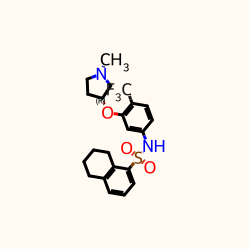 CN1CC[C@@H](Oc2cc(NS(=O)(=O)c3cccc4c3CCCC4)ccc2C(F)(F)F)C1